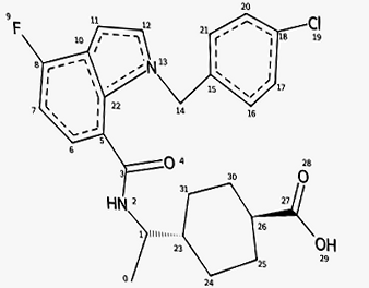 CC(NC(=O)c1ccc(F)c2ccn(Cc3ccc(Cl)cc3)c12)[C@H]1CC[C@H](C(=O)O)CC1